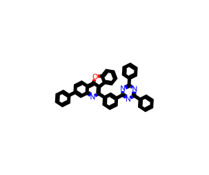 c1ccc(-c2ccc3c(c2)nc(-c2cccc(-c4nc(-c5ccccc5)nc(-c5ccccc5)n4)c2)c2c4ccccc4oc32)cc1